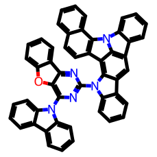 c1ccc2c(c1)ccc1c3c4c(cc5c6ccccc6n(c21)c53)c1ccccc1n4-c1nc(-n2c3ccccc3c3ccccc32)c2oc3ccccc3c2n1